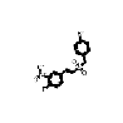 O=[N+]([O-])c1cc(/C=C/S(=O)(=O)Cc2ccc(Br)cc2)ccc1F